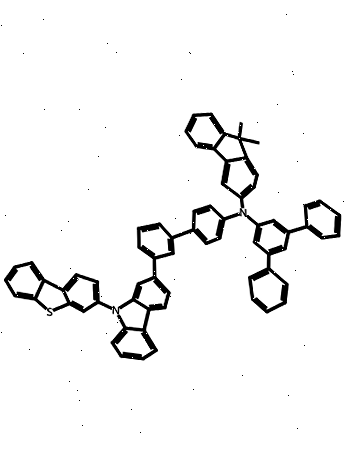 CC1(C)c2ccccc2-c2cc(N(c3ccc(-c4cccc(-c5ccc6c7ccccc7n(-c7ccc8c(c7)sc7ccccc78)c6c5)c4)cc3)c3cc(-c4ccccc4)cc(-c4ccccc4)c3)ccc21